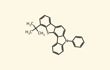 CC(C)(C)c1cccc2c1sc1c2ccc2c1c1ccccc1n2-c1ccccc1